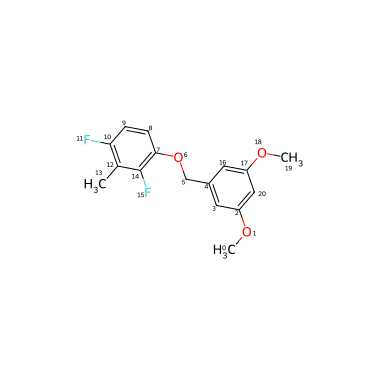 COc1cc(COc2ccc(F)c(C)c2F)cc(OC)c1